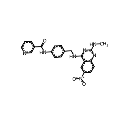 CNc1nc(NCc2ccc(NC(=O)c3cccnc3)cc2)c2cc([N+](=O)[O-])ccc2n1